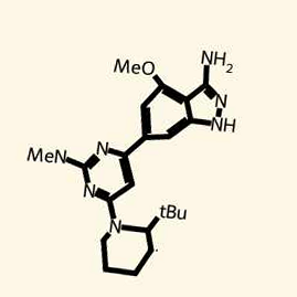 CNc1nc(-c2cc(OC)c3c(N)n[nH]c3c2)cc(N2CCC[CH]C2C(C)(C)C)n1